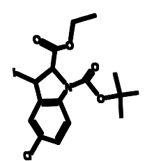 CCOC(=O)C1C(I)c2cc(Cl)ccc2N1C(=O)OC(C)(C)C